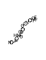 O=C(NC1CCN(Cc2ccncc2)CC1)c1cc2ccc(OC3CCN(c4ccc(OC(F)(F)F)cc4)CC3)cc2o1